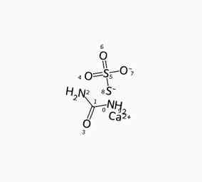 NC(N)=O.O=S(=O)([O-])[S-].[Ca+2]